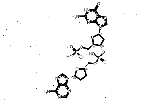 Nc1nc2c(ncn2[C@H]2C[C@H](OP(=O)(O)OC[C@@H]3CC[C@H](n4cnc5c(N)ncnc54)O3)[C@@H](COP(=O)(O)O)O2)c(=O)[nH]1